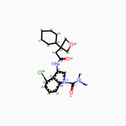 CN(C)C(=O)n1cc(NC(=O)CC2(C3CCCCC3)COC2)c2c(Cl)cccc21